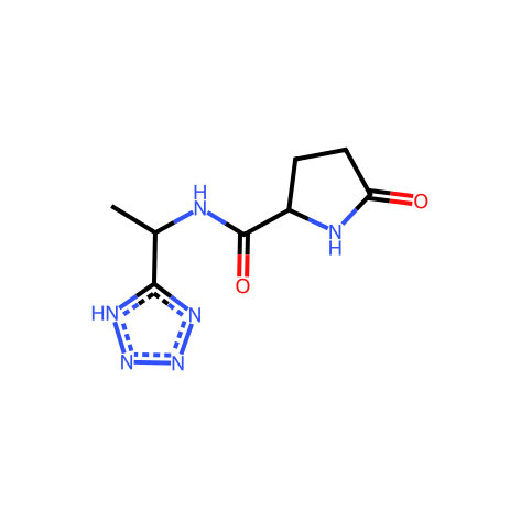 CC(NC(=O)C1CCC(=O)N1)c1nnn[nH]1